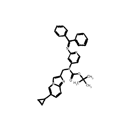 CC(C)(C)OC(=O)N(Cc1cn2cc(C3CC3)ccc2n1)c1ccnc(N=C(c2ccccc2)c2ccccc2)c1